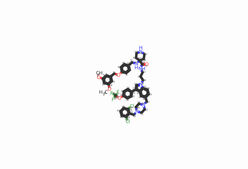 COc1cc(COc2ccc(CNC3(C(=O)NCCCn4cc(-c5ccc(OC(F)(F)F)cc5)c5cc(CN6CCN(Cc7c(Cl)cccc7Cl)CC6)ccc54)CCNCC3)cc2)cc(OC)c1